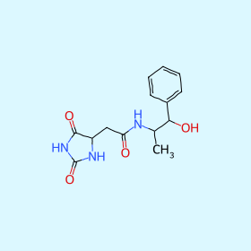 CC(NC(=O)CC1NC(=O)NC1=O)C(O)c1ccccc1